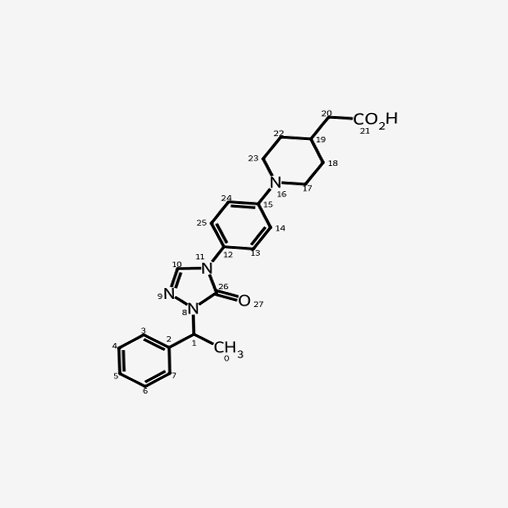 CC(c1ccccc1)n1ncn(-c2ccc(N3CCC(CC(=O)O)CC3)cc2)c1=O